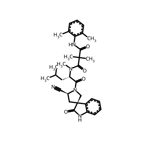 Cc1cccc(C)c1NC(=O)C(C)(C)C(=O)N(C)[C@@H](CC(C)C)C(=O)N1C[C@]2(C[C@H]1C#N)C(=O)Nc1ccccc12